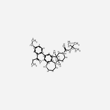 CCC(=O)c1cc(OC)ccc1-c1cc2c3c(c1)[C@@H]1CN(C(=O)OC(C)(C)C)CC[C@@H]1N3CCCS2